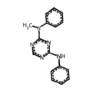 CN(c1ccccc1)c1ncnc(Nc2ccccc2)n1